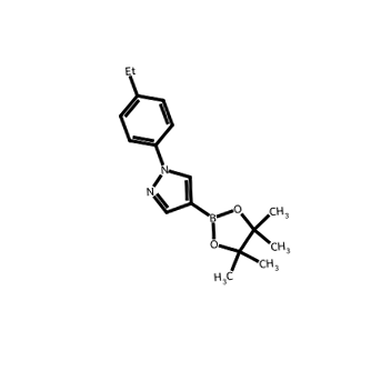 CCc1ccc(-n2cc(B3OC(C)(C)C(C)(C)O3)cn2)cc1